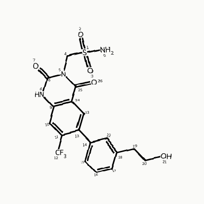 NS(=O)(=O)Cn1c(=O)[nH]c2cc(C(F)(F)F)c(-c3cccc(CCO)c3)cc2c1=O